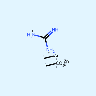 CC(=O)O.CC(C)=O.N=C(N)N.[Zn]